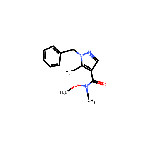 CON(C)C(=O)c1cnn(Cc2ccccc2)c1C